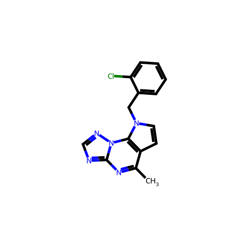 Cc1nc2ncnn2c2c1ccn2Cc1ccccc1Cl